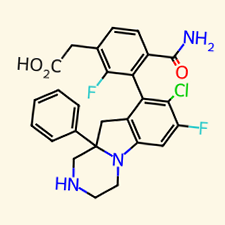 NC(=O)c1ccc(CC(=O)O)c(F)c1-c1c(Cl)c(F)cc2c1CC1(c3ccccc3)CNCCN21